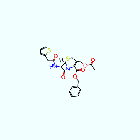 CC(=O)OCC1=C(C(=O)OCc2ccccc2)N2C(=O)[C@@H](NC(=O)Cc3cccs3)[C@H]2SC1